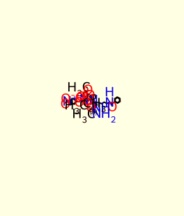 COC1CC(=O)C(C(=O)[C@@H]2CCCN2C(=O)[C@H](CCCCNC(=O)c2ccccc2)NC(=O)[C@H](C)N)(N(C(=O)Oc2ccc([N+](=O)[O-])cc2)C(C)C)C1=O